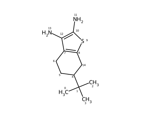 CC(C)(C)C1CCc2c(sc(N)c2N)C1